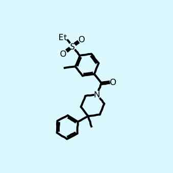 CCS(=O)(=O)c1ccc(C(=O)N2CCC(C)(c3ccccc3)CC2)cc1C